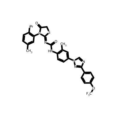 Cc1ccc(C(C)C)c(N2C(=O)CS/C2=N\C(=O)Nc2ccc(-n3cnc(-c4ccc(OC(F)(F)F)cc4)n3)cc2C)c1